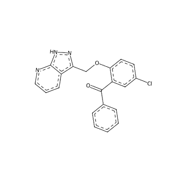 O=C(c1ccccc1)c1cc(Cl)ccc1OCc1n[nH]c2ncccc12